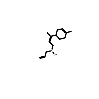 C=CCN(C/C=C(/C)C1CC=C(C)CC1)C(C)=O